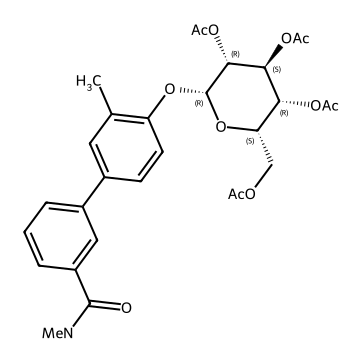 CNC(=O)c1cccc(-c2ccc(O[C@H]3O[C@@H](COC(C)=O)[C@@H](OC(C)=O)[C@H](OC(C)=O)[C@H]3OC(C)=O)c(C)c2)c1